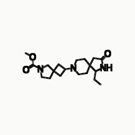 CCC1NC(=O)CC12CCN(C1CC3(CCN(C(=O)OC)C3)C1)CC2